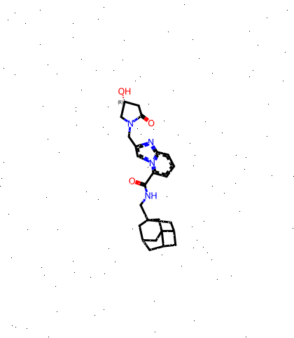 O=C(NCC12CC3CC4CC(C1)C4(C3)C2)c1cccc2nc(CN3C[C@H](O)CC3=O)cn12